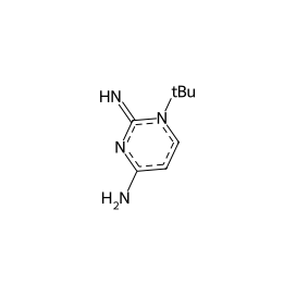 CC(C)(C)n1ccc(N)nc1=N